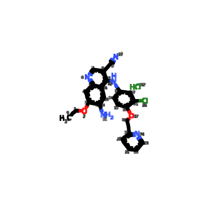 CCOc1cc2ncc(C#N)c(Nc3ccc(OCc4ccccn4)c(Cl)c3)c2cc1N.Cl